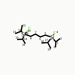 CC(C)[Si](F)(CCCC[Si](F)(C(C)C)C(C)C)C(C)C